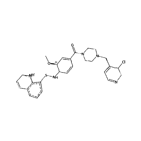 CO[C@H]1C=C(C(=O)N2CCN(CC3=CC=NCC3Cl)CC2)C=CC1NSc1cccc2c1NCC=C2